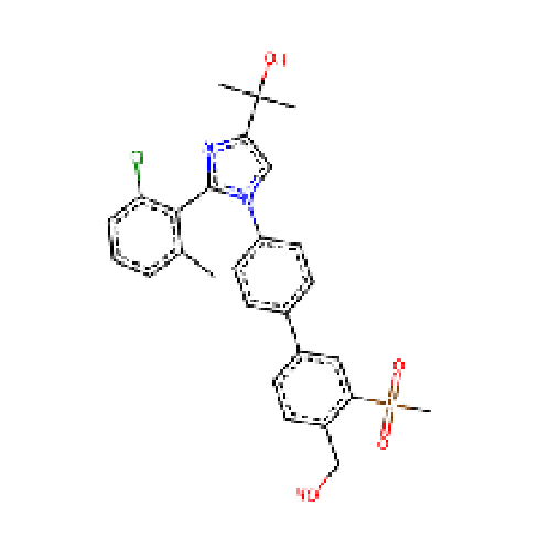 Cc1cccc(Cl)c1-c1nc(C(C)(C)O)cn1-c1ccc(-c2ccc(CO)c(S(C)(=O)=O)c2)cc1